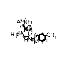 Cc1ccc2nc(NC(=O)CN(C)C(=O)CNC(C)(C)C)sc2c1